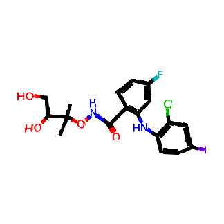 CC(C)(ONC(=O)c1ccc(F)cc1Nc1ccc(I)cc1Cl)C(O)CO